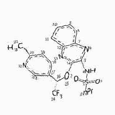 CCCS(=O)(=O)Nc1nc2ccccc2nc1O[C@@H](c1ccc(C)nc1)C(F)(F)F